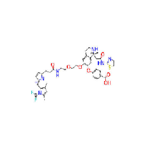 Cc1cc(C)n(B(F)F)c1/C=C1/C=CC(CCC(=O)NCCOCCOc2cc3c(cc2Oc2ccc(C(=O)O)cc2)[C@@](C)(CC(=O)Nc2nccs2)NCC3)=N1